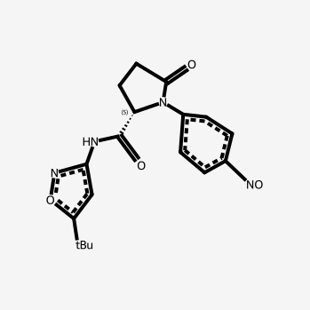 CC(C)(C)c1cc(NC(=O)[C@@H]2CCC(=O)N2c2ccc(N=O)cc2)no1